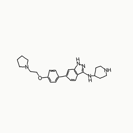 c1cc(-c2ccc3c(NC4CCNCC4)n[nH]c3c2)ccc1OCCN1CCCC1